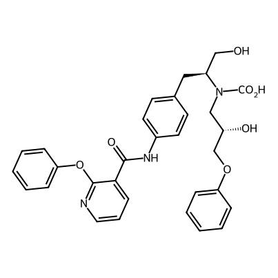 O=C(Nc1ccc(C[C@@H](CO)N(C[C@H](O)COc2ccccc2)C(=O)O)cc1)c1cccnc1Oc1ccccc1